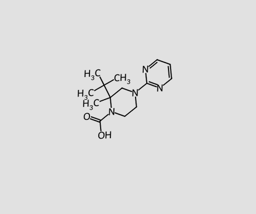 CC(C)(C)C1(C)CN(c2ncccn2)CCN1C(=O)O